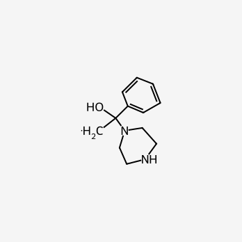 [CH2]C(O)(c1ccccc1)N1CCNCC1